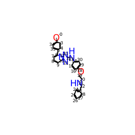 COc1ccc(-c2cccc3nc(Nc4ccc(OCCNCc5ccccc5)cc4)nn23)cc1